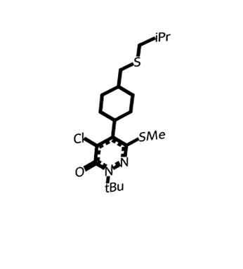 CSc1nn(C(C)(C)C)c(=O)c(Cl)c1C1CCC(CSCC(C)C)CC1